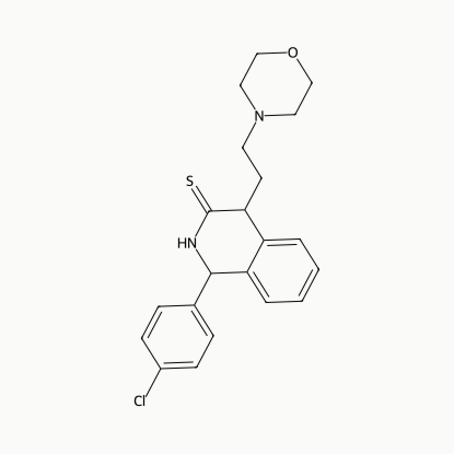 S=C1NC(c2ccc(Cl)cc2)c2ccccc2C1CCN1CCOCC1